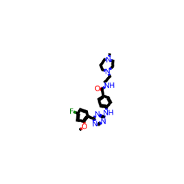 COc1cc(F)ccc1-c1ncnc(Nc2ccc(C(=O)NCCN3CCCN(C)CC3)cc2)n1